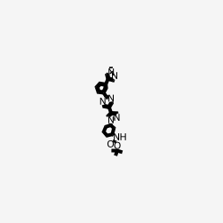 Cn1cc(-c2cccc(-c3ncc(-c4cnn(C5CCCC(NC(=O)OC(C)(C)C)C5)c4)cn3)c2)cn1